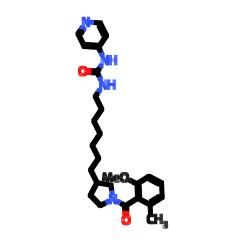 COc1cccc(C)c1C(=O)N1CCC(CCCCCCCNC(=O)Nc2ccncc2)C1